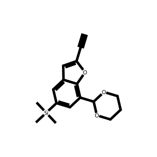 C#Cc1cc2cc([Si](C)(C)C)cc(C3OCCCO3)c2o1